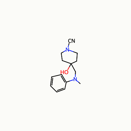 CN(CC1(O)CCN(C#N)CC1)c1ccccc1